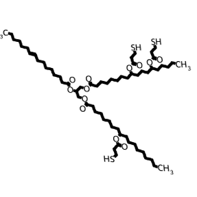 CCCCCCC=CCCCCCCCC(=O)OC(COC(=O)CCCCCCCC(CCCCCCCCC)OC(=O)CCS)COC(=O)CCCCCCCC(CCCC(CCCCC)OC(=O)CCS)OC(=O)CCS